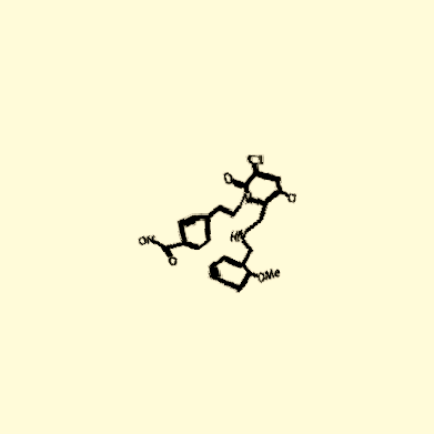 COc1ccccc1CNCc1c(Cl)cc(Cl)c(=O)n1CCc1ccc(C(=O)N=O)cc1